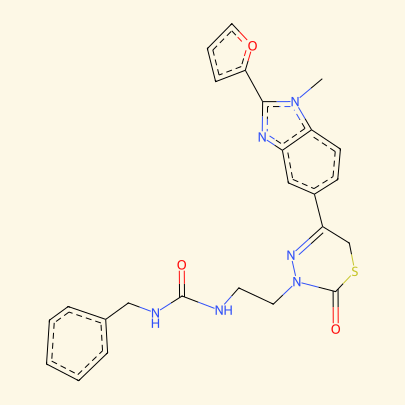 Cn1c(-c2ccco2)nc2cc(C3=NN(CCNC(=O)NCc4ccccc4)C(=O)SC3)ccc21